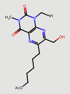 CC(=O)OCCCCCc1nc2c(=O)n(C)c(=O)n(CC(C)C)c2nc1CO